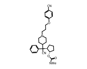 CNC(=O)O[C@H]1CCC[C@@H]1C(C#N)(c1ccccc1)C1CCN(CCCOc2ccc(C#N)cc2)CC1